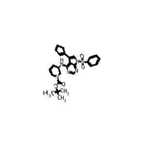 CC(C)(C)OC(=O)N1CCC[C@@H](Nc2ncnc3c2c(C2=CCCC2)cn3S(=O)(=O)c2ccccc2)C1